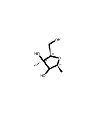 C[C@@H]1O[C@H](CO)[C@](C)(O)C1O